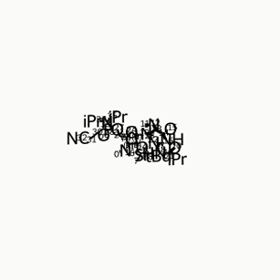 C=N[C@H]1[C@@H](O[Si](C)(C)C(C)(C)C)[C@H](n2cnc3c(=O)[nH]c(NC(=O)C(C)C)nc32)O[C@@H]1COP(OCCC#N)N(C(C)C)C(C)C